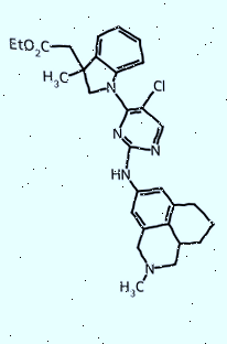 CCOC(=O)CC1(C)CN(c2nc(Nc3cc4c5c(c3)CN(C)CC5CCC4)ncc2Cl)c2ccccc21